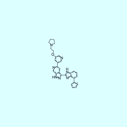 c1csc(-c2cccc3[nH]c(-c4n[nH]c5cnc(-c6cncc(OCCN7CCCC7)c6)cc45)nc23)c1